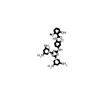 COc1cccc(O)c1C(=O)Nc1ccc(Nc2nc(N3CC(N)CC(N)C3)nc(N3CC(N)CC(N)C3)n2)cc1Cl